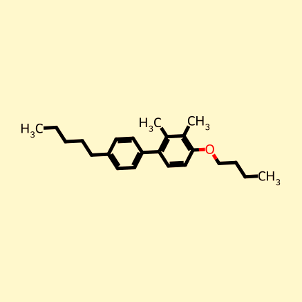 CCCCCc1ccc(-c2ccc(OCCCC)c(C)c2C)cc1